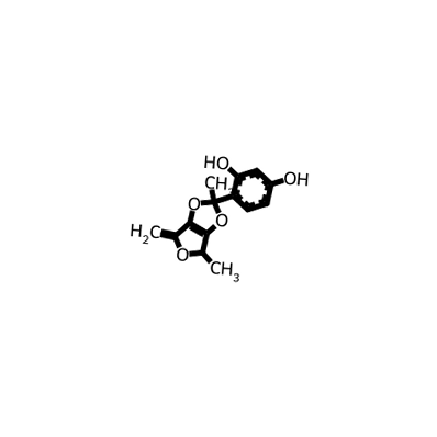 C=C1OC(C)C2=C1OC(C)(c1ccc(O)cc1O)O2